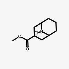 COC(=O)C1CC2CCCC(C1)N2Cl